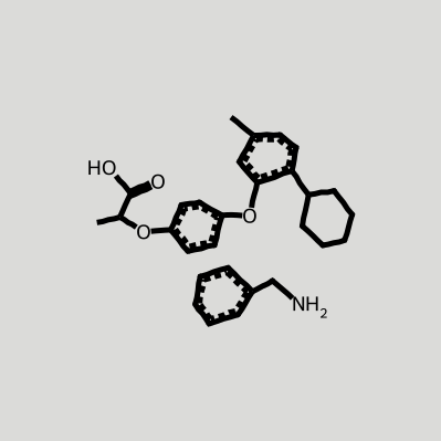 Cc1ccc(C2CCCCC2)c(Oc2ccc(OC(C)C(=O)O)cc2)c1.NCc1ccccc1